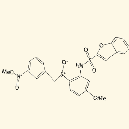 COc1ccc([S+]([O-])Cc2cccc([N+](=O)OC)c2)c(NS(=O)(=O)c2cc3ccccc3o2)c1